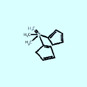 [CH2]=[Ti]([CH3])([CH3])([C]1=CC=CC1)[C]1=CC=CC1